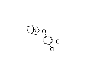 CN1C2C=CC1CC(Oc1ccc(Cl)c(Cl)c1)C2